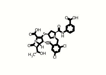 C[C@@H](O)[C@H]1C(=O)N2C(C(=O)O)=C(S[C@H]3C[C@@H](C(=O)Nc4cccc(C(=O)O)c4)N(Cc4c(Cl)cc(Cl)cc4Cl)C3)[C@H](C)[C@H]12